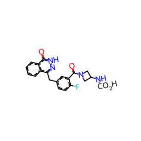 O=C(O)NC1CN(C(=O)c2cc(Cc3n[nH]c(=O)c4ccccc34)ccc2F)C1